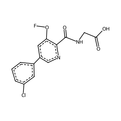 O=C(O)CNC(=O)c1ncc(-c2cccc(Cl)c2)cc1OF